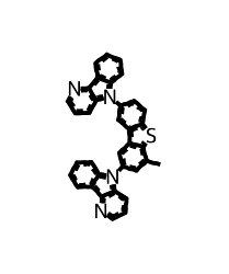 Cc1cc(-n2c3ccccc3c3ncccc32)cc2c1sc1ccc(-n3c4ccccc4c4ncccc43)cc12